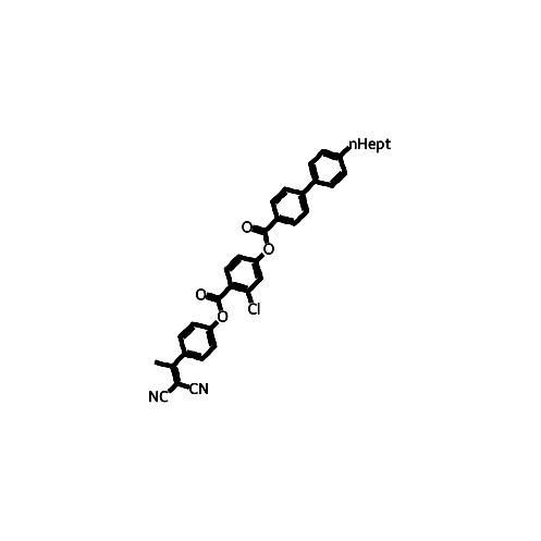 CCCCCCCc1ccc(-c2ccc(C(=O)Oc3ccc(C(=O)Oc4ccc(C(C)=C(C#N)C#N)cc4)c(Cl)c3)cc2)cc1